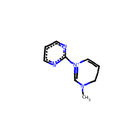 CN1C=[N+](c2ncccn2)C=CC1